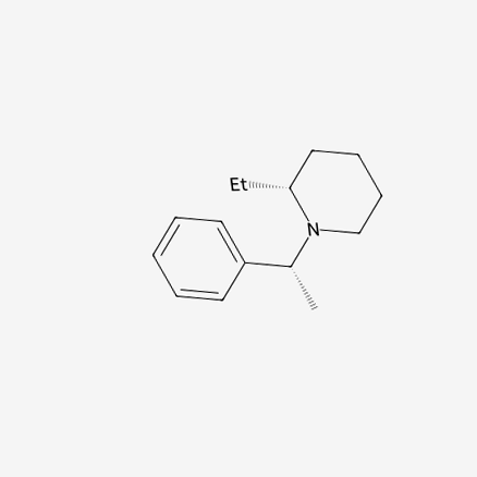 CC[C@@H]1CCCCN1[C@H](C)c1ccccc1